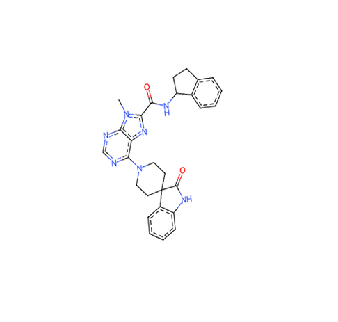 Cn1c(C(=O)NC2CCc3ccccc32)nc2c(N3CCC4(CC3)C(=O)Nc3ccccc34)ncnc21